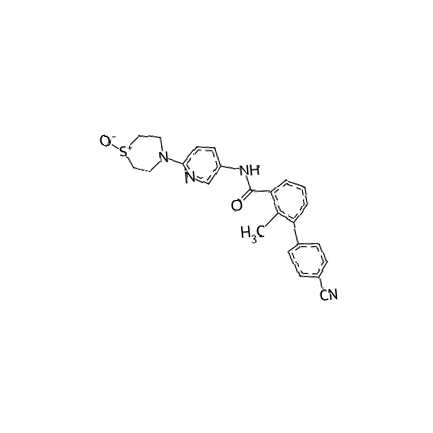 Cc1c(C(=O)Nc2ccc(N3CC[S+]([O-])CC3)nc2)cccc1-c1ccc(C#N)cc1